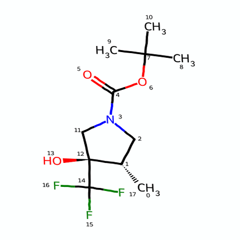 C[C@H]1CN(C(=O)OC(C)(C)C)C[C@@]1(O)C(F)(F)F